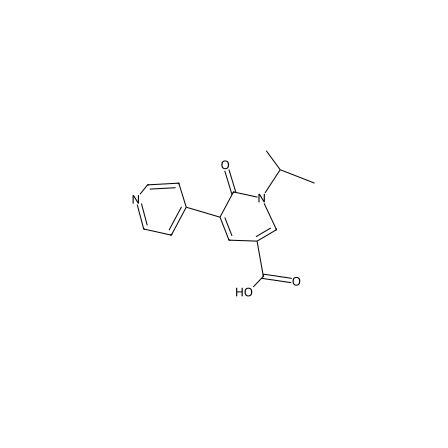 CC(C)n1cc(C(=O)O)cc(-c2ccncc2)c1=O